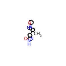 Cc1ccc2c(cnn2C2CCCCO2)c1C1CCc2c(nc[nH]c2=O)C1